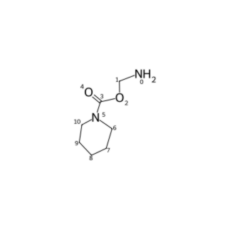 NCOC(=O)N1CCCCC1